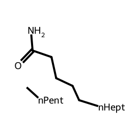 CCCCCC.CCCCCCCCCCCC(N)=O